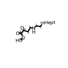 CCCCCCCCCNCCC(=O)C(=O)OO